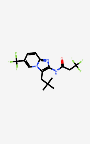 CC(C)(C)Cc1c(NC(=O)CC(F)(F)F)nc2ccc(C(F)(F)F)cn12